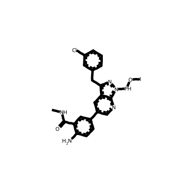 CNC(=O)c1cc(-c2cnc3c(c2)c(Cc2cccc(Cl)c2)nn3POI)ccc1N